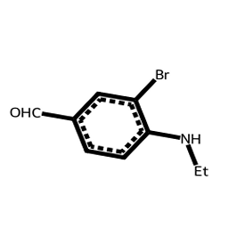 CCNc1ccc(C=O)cc1Br